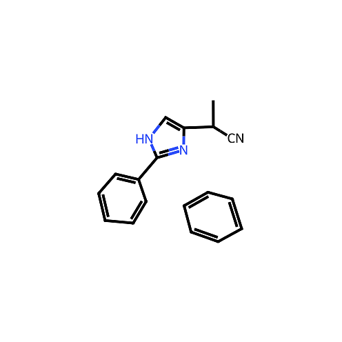 CC(C#N)c1c[nH]c(-c2ccccc2)n1.c1ccccc1